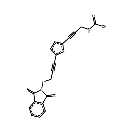 O=C(O)NCC#Cc1ccc(C#CCON2C(=O)c3ccccc3C2=O)s1